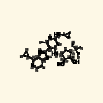 Cc1nc(NC2CC2)nc(N[C@@H]2C[C@H](C(C)(F)F)[C@@H](O)[C@H]2O)c1-c1nc2c(C3CC3)nccc2s1